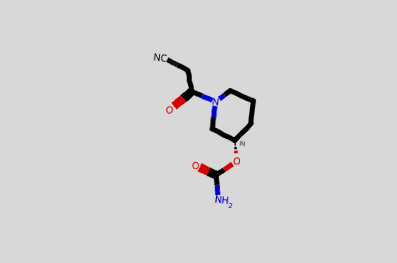 N#CCC(=O)N1CCC[C@H](OC(N)=O)C1